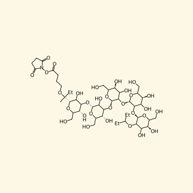 CCC(CC)OC1C(O)[C@H](O)C(CO)O[C@@H]1OC1C(O)[C@H](O)C(CO)O[C@@H]1OC1C(O)[C@H](O)C(CO)O[C@@H]1OC1C(O)[C@@H](OC2C(O)[C@@H](C(C)(CC)OCCCC(=O)ON3C(=O)CCC3=O)OC(CO)[C@H]2O)OC(CO)[C@H]1O